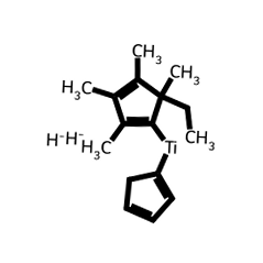 CCC1(C)C(C)=C(C)C(C)=[C]1[Ti][C]1=CC=CC1.[H-].[H-]